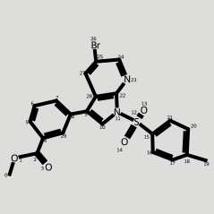 COC(=O)c1cccc(-c2cn(S(=O)(=O)c3ccc(C)cc3)c3ncc(Br)cc23)c1